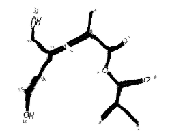 C=C(C)C(=O)OC(=O)C(C)=C=C(CO)CCO